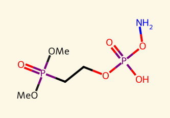 COP(=O)(CCOP(=O)(O)ON)OC